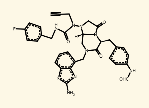 C#CCN(C(=O)NCc1ccc(F)cc1)N1CC(=O)N2[C@@H](Cc3ccc(NC=O)cc3)C(=O)N(Cc3cccc4sc(N)nc34)C[C@@H]21